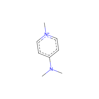 CN(C)c1cc[n+](C)cc1